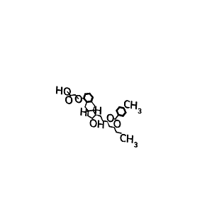 CCCCC[C@@H](CC[C@@H]1[C@H]2Cc3cccc(OCC(=O)O)c3C[C@H]2C[C@H]1O)OC(=O)c1ccc(C)cc1